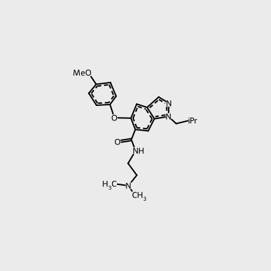 COc1ccc(Oc2cc3cnn(CC(C)C)c3cc2C(=O)NCCN(C)C)cc1